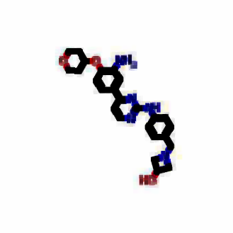 Nc1cc(-c2ccnc(Nc3ccc(CN4CC(O)C4)cc3)n2)ccc1OC1CCOCC1